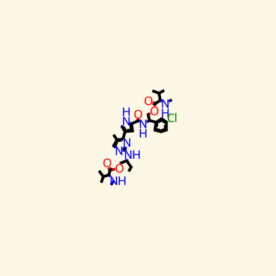 CCC(COC(=O)C(NC)C(C)C)Nc1ncc(C)c(-c2c[nH]c(C(=O)NC(COC(=O)C(NC)C(C)C)c3cccc(Cl)c3)c2)n1